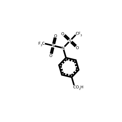 O=C(O)c1ccc(N(S(=O)(=O)C(F)(F)F)S(=O)(=O)C(F)(F)F)cc1